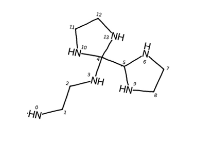 [NH]CCNC1([C]2NCCN2)NCCN1